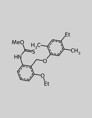 CCOc1cccc(NC(=S)OC)c1COc1cc(C)c(CC)cc1C